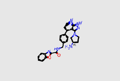 N[C@@H]1CCN(c2n[nH]c3nccc(-c4ccc(CNC(=O)c5nc6ccccc6o5)cc4)c23)C1